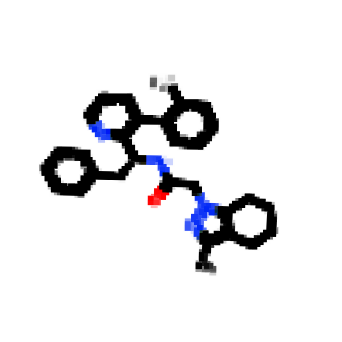 Cc1ccccc1-c1cccnc1[C@H](Cc1ccccc1)NC(=O)Cn1nc(C(F)(F)F)c2c1CCCC2